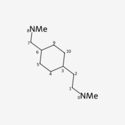 CNCCC1CCC(CNC)CC1